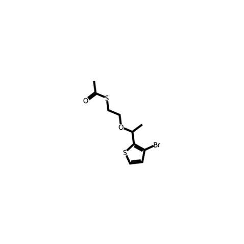 CC(=O)SCCOC(C)c1sccc1Br